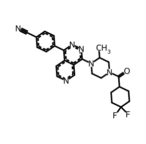 CC1CN(C(=O)C2CCC(F)(F)CC2)CCN1c1nnc(-c2ccc(C#N)cc2)c2ccncc12